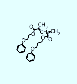 C=C(C)C(=O)OCCOc1ccccc1.C=CC(=O)OCCCOc1ccccc1